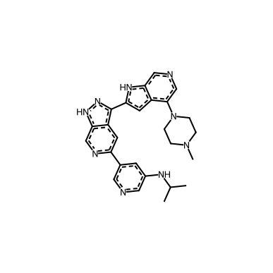 CC(C)Nc1cncc(-c2cc3c(-c4cc5c(N6CCN(C)CC6)cncc5[nH]4)n[nH]c3cn2)c1